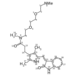 CNCCOCCOCCN(C)C(=O)CCc1c(C)[nH]c(C=C2C(=O)Nc3ccccc32)c1C